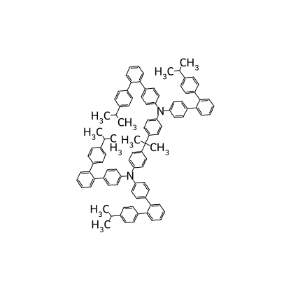 CC(C)c1ccc(-c2ccccc2-c2ccc(N(c3ccc(-c4ccccc4-c4ccc(C(C)C)cc4)cc3)c3ccc(C(C)(C)c4ccc(N(c5ccc(-c6ccccc6-c6ccc(C(C)C)cc6)cc5)c5ccc(-c6ccccc6-c6ccc(C(C)C)cc6)cc5)cc4)cc3)cc2)cc1